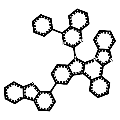 c1ccc(-c2nc(-n3c4ccc(-c5cccc6c5sc5ccccc56)cc4c4c5ccccc5c5nc6ccccc6n5c43)nc3ccccc23)cc1